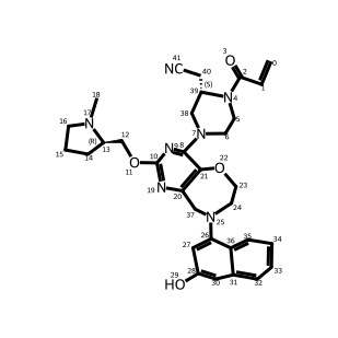 C=CC(=O)N1CCN(c2nc(OC[C@H]3CCCN3C)nc3c2OCCN(c2cc(O)cc4ccccc24)C3)C[C@@H]1CC#N